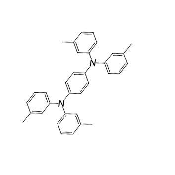 Cc1cccc(N(c2ccc(N(c3cccc(C)c3)c3cccc(C)c3)cc2)c2cccc(C)c2)c1